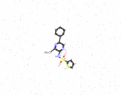 COc1nc(-c2ccccc2)cnc1NS(=O)(=O)c1cccs1